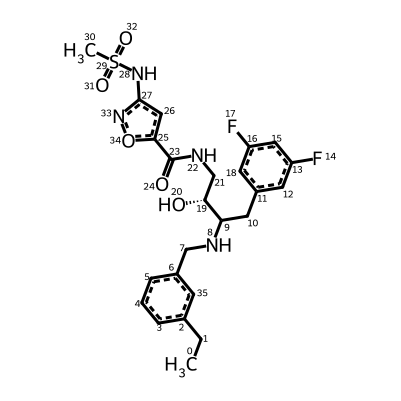 CCc1cccc(CNC(Cc2cc(F)cc(F)c2)[C@H](O)CNC(=O)c2cc(NS(C)(=O)=O)no2)c1